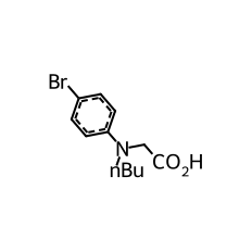 CCCCN(CC(=O)O)c1ccc(Br)cc1